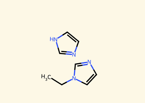 CCn1ccnc1.c1c[nH]cn1